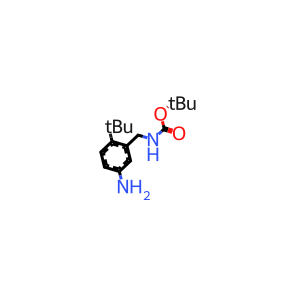 CC(C)(C)OC(=O)NCc1cc(N)ccc1C(C)(C)C